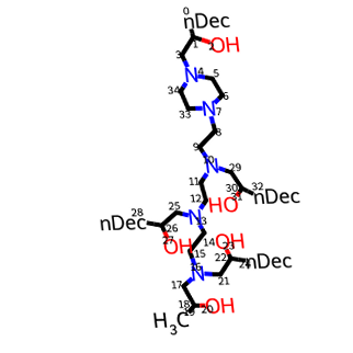 CCCCCCCCCCC(O)CN1CCN(CCN(CCN(CCN(CC(C)O)CC(O)CCCCCCCCCC)CC(O)CCCCCCCCCC)CC(O)CCCCCCCCCC)CC1